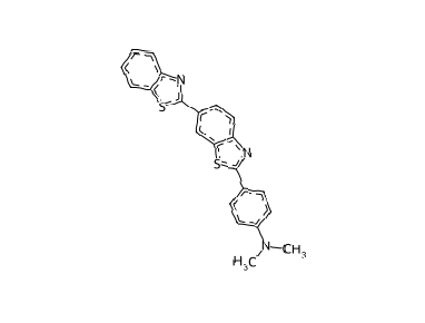 CN(C)c1ccc(-c2nc3ccc(-c4nc5ccccc5s4)cc3s2)cc1